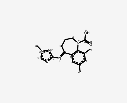 Cc1cc(C)c2c(c1)C(=Nc1nnn(C)n1)CCCN2C(=O)O